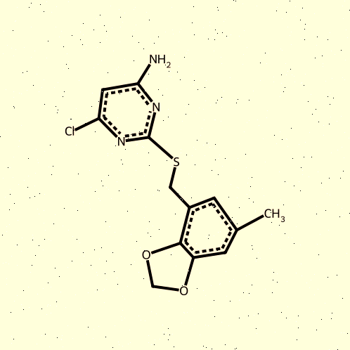 Cc1cc(CSc2nc(N)cc(Cl)n2)c2c(c1)OCO2